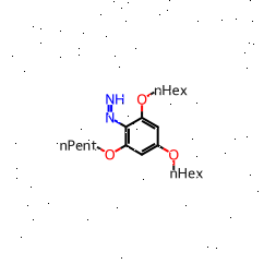 CCCCCCOc1cc(OCCCCC)c(N=N)c(OCCCCCC)c1